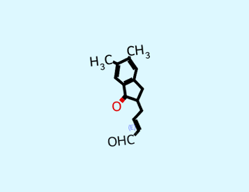 Cc1cc2c(cc1C)C(=O)C(C/C=C/C=O)C2